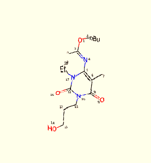 CCCCO/C(C)=N/c1c(C)c(=O)n(CCCO)c(=O)n1CC